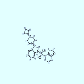 O=S(=O)(c1cccc2c1CCO2)N1CC(N2CCC(N3CCC3)CC2)c2ncccc21